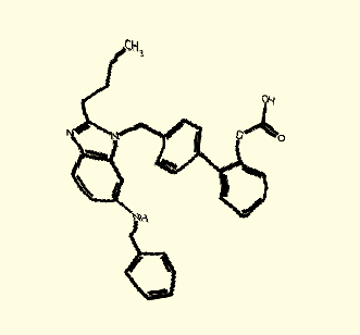 CCCCc1nc2ccc(NCc3ccccc3)cc2n1Cc1ccc(-c2ccccc2OC(=O)O)cc1